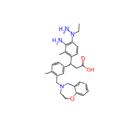 CCN(N)c1ccc(C(CC(=O)O)c2ccc(C)c(CN3CCOc4ccccc4C3)c2)c(C)c1N